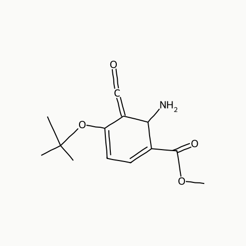 COC(=O)C1=CC=C(OC(C)(C)C)C(=C=O)C1N